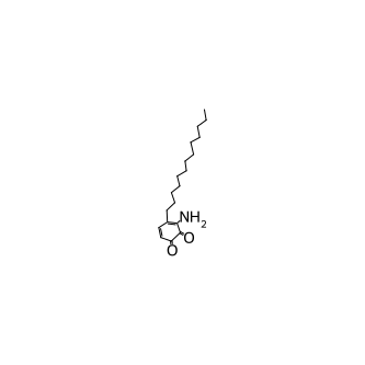 CCCCCCCCCCCCCC1=C(N)C(=O)C(=O)C=C1